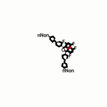 CCCCCCCCC[C@H]1CC[C@H]([C@H]2CC[C@H](C(OC(c3ccc(F)cc3F)[C@H]3CC[C@H]([C@H]4CC[C@H](CCCCCCCCC)CC4)CC3)c3ccc(F)cc3F)CC2)CC1